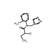 CCC(Cl)C(=O)N(Cn1cnnc1)c1ccccc1C